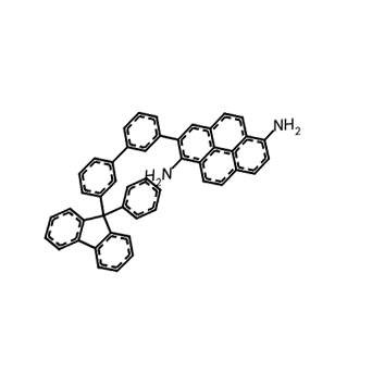 Nc1ccc2ccc3c(N)c(-c4cccc(-c5cccc(C6(c7ccccc7)c7ccccc7-c7ccccc76)c5)c4)cc4ccc1c2c43